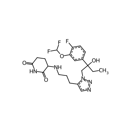 CCC(O)(Cn1nncc1CCCNC1CCC(=O)NC1=O)c1ccc(F)c(OC(F)F)c1